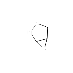 C1SNC2OC12